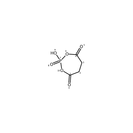 O=C1CCC(=O)OP(=O)(O)O1